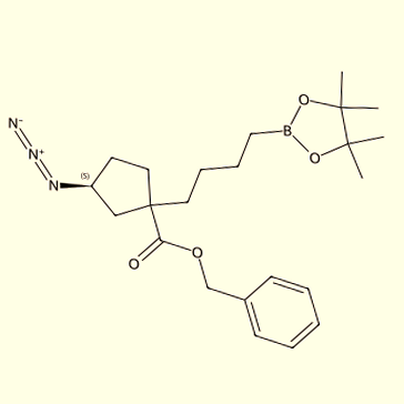 CC1(C)OB(CCCCC2(C(=O)OCc3ccccc3)CC[C@H](N=[N+]=[N-])C2)OC1(C)C